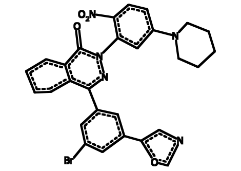 O=c1c2ccccc2c(-c2cc(Br)cc(-c3cnco3)c2)nn1-c1cc(N2CCCCC2)ccc1[N+](=O)[O-]